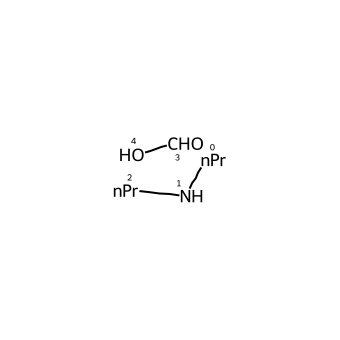 CCCNCCC.O=CO